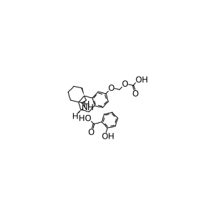 O=C(O)OCOc1ccc2c(c1)[C@@]13CCCC[C@H]1[C@@H](C2)NCC3.O=C(O)c1ccccc1O